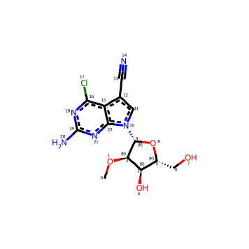 CO[C@@H]1[C@H](O)[C@@H](CO)O[C@H]1n1cc(C#N)c2c(Cl)nc(N)nc21